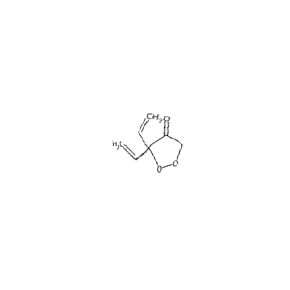 C=CC1(C=C)OOCC1=O